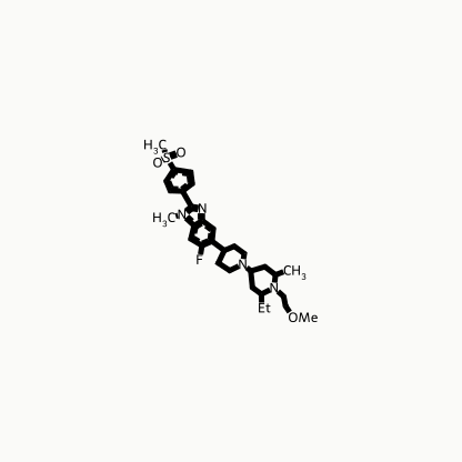 CCC1CC(N2CCC(c3cc4nc(-c5ccc(S(C)(=O)=O)cc5)n(C)c4cc3F)CC2)CC(C)N1CCOC